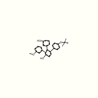 COc1cccc(-c2c(O)[c]cc(-c3ccc(OC(F)(F)F)cc3)c2-c2cccc(O)c2)c1